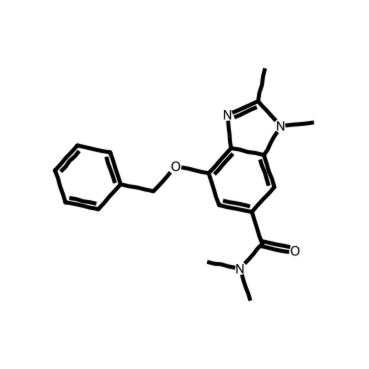 Cc1nc2c(OCc3ccccc3)cc(C(=O)N(C)C)cc2n1C